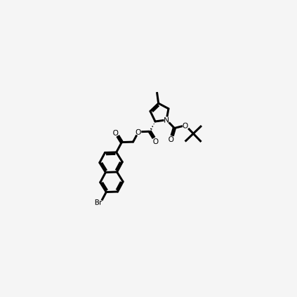 CC1=C[C@@H](C(=O)OCC(=O)c2ccc3cc(Br)ccc3c2)N(C(=O)OC(C)(C)C)C1